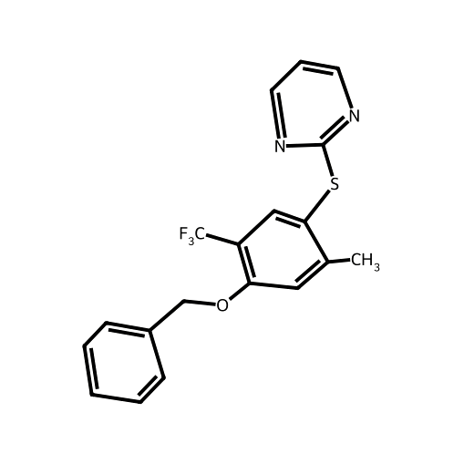 Cc1cc(OCc2ccccc2)c(C(F)(F)F)cc1Sc1ncccn1